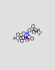 CC1(C)c2ccccc2-c2ccc(N(C3=CC4C(C=C3)c3ccccc3C4(C)C)c3cc4ccccc4c4oc(-c5ccccc5)nc34)cc21